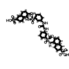 O=C(Nc1cccc(S(=O)(=O)Nc2c(O)ccc3cc(S(=O)(=O)O)ccc23)c1)Nc1cccc(S(=O)(=O)Nc2c(O)ccc3cc(S(=O)(=O)O)ccc23)c1